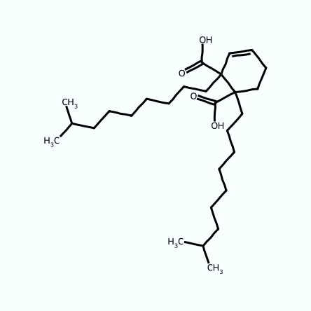 CC(C)CCCCCCCC1(C(=O)O)C=CCCC1(CCCCCCCC(C)C)C(=O)O